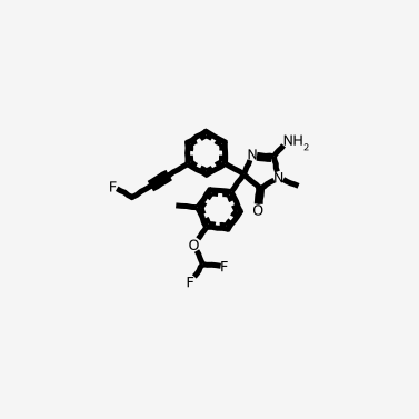 Cc1cc(C2(c3cccc(C#CCF)c3)N=C(N)N(C)C2=O)ccc1OC(F)F